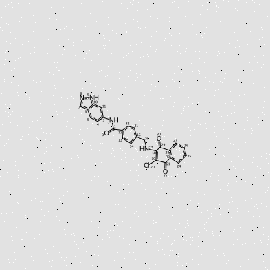 O=C(Nc1ccc2cn[nH]c2c1)c1ccc(CNC2=C(Cl)C(=O)c3ccccc3C2=O)cc1